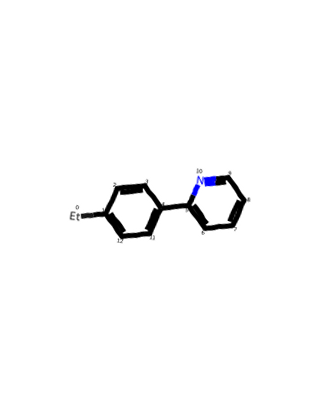 CCc1ccc(-c2ccccn2)cc1